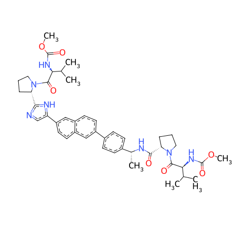 COC(=O)N[C@H](C(=O)N1CCC[C@H]1C(=O)N[C@H](C)c1ccc(-c2ccc3cc(-c4cnc([C@@H]5CCCN5C(=O)[C@@H](NC(=O)OC)C(C)C)[nH]4)ccc3c2)cc1)C(C)C